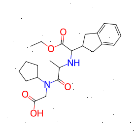 CCOC(=O)C(NC(C)C(=O)N(CC(=O)O)C1CCCC1)C1Cc2ccccc2C1